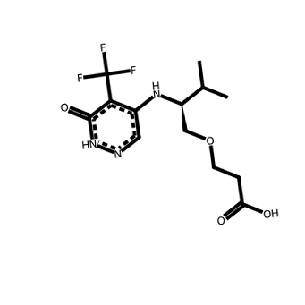 CC(C)[C@@H](COCCC(=O)O)Nc1cn[nH]c(=O)c1C(F)(F)F